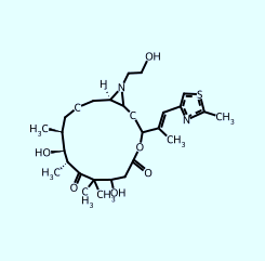 CC(=Cc1csc(C)n1)C1CC2[C@@H](CCC[C@H](C)[C@H](O)[C@@H](C)C(=O)C(C)(C)C(O)CC(=O)O1)N2CCO